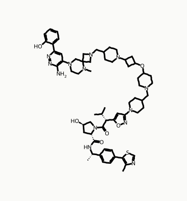 Cc1ncsc1-c1ccc([C@H](C)NC(=O)[C@@H]2C[C@@H](O)CN2C(=O)[C@@H](c2cc(N3CCC(CN4CCC(OC5CC(N6CCC(CN7CC8(C7)CN(c7cc(-c9ccccc9O)nnc7N)CCN8C)CC6)C5)CC4)CC3)no2)C(C)C)cc1